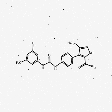 NC(=O)c1[nH]cc(C(=O)O)c1-c1ccc(NC(=O)Nc2cc(F)cc(C(F)(F)F)c2)cc1